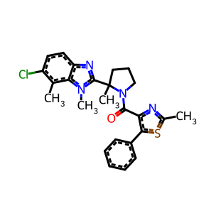 Cc1nc(C(=O)N2CCCC2(C)c2nc3ccc(Cl)c(C)c3n2C)c(-c2ccccc2)s1